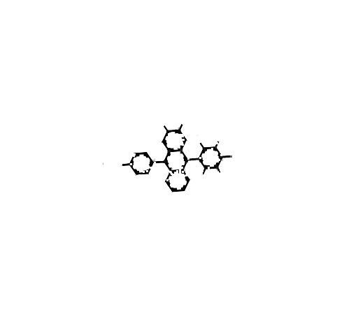 COc1ccc(-c2c3ccccc3c(-c3c(F)c(F)c(F)c(F)c3F)c3cc(F)c(F)cc23)cc1